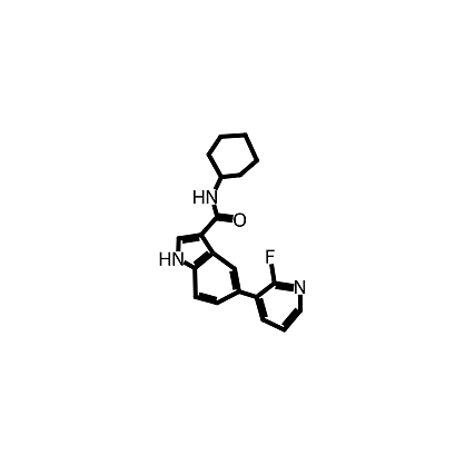 O=C(NC1CCCCC1)c1c[nH]c2ccc(-c3cccnc3F)cc12